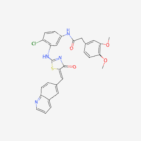 COc1ccc(CC(=O)Nc2ccc(Cl)c(NC3=NC(=O)/C(=C/c4ccc5ncccc5c4)S3)c2)cc1OC